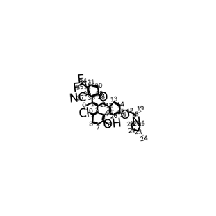 CC1=C(c2cc(O)ccc2Cl)C(c2ccc(OC[C@H](C)N3CC[C@@H](C)C3)cc2)Oc2ccc(C(F)F)c(C#N)c21